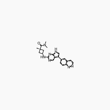 CN(C)C(=O)[C@]1(C)C[C@@H](Nc2ncc3c(-c4ccc5nnccc5c4)c[nH]c3n2)C1